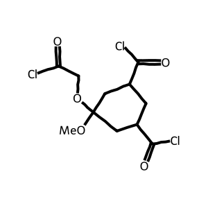 COC1(OCC(=O)Cl)CC(C(=O)Cl)CC(C(=O)Cl)C1